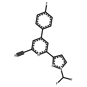 N#Cc1cc(-c2ccc(F)cc2)cc(-c2ccn(C(F)F)n2)n1